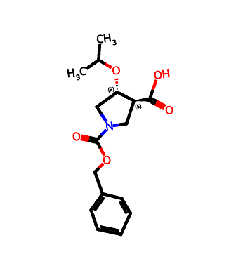 CC(C)O[C@H]1CN(C(=O)OCc2ccccc2)C[C@@H]1C(=O)O